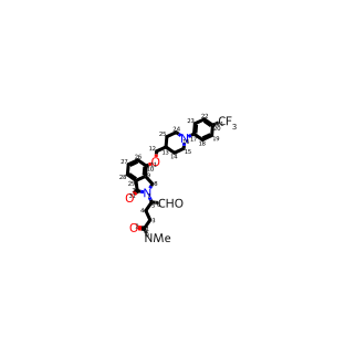 CNC(=O)CCC(C=O)N1Cc2c(OCC3CCN(c4ccc(C(F)(F)F)cc4)CC3)cccc2C1=O